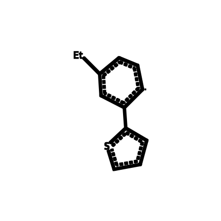 CCc1cc[c]c(-c2cccs2)c1